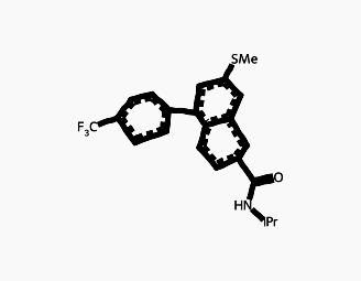 CSc1cc(-c2ccc(C(F)(F)F)cc2)c2ccc(C(=O)NC(C)C)cc2c1